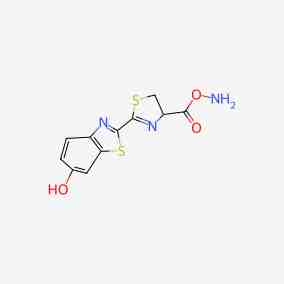 NOC(=O)C1CSC(c2nc3ccc(O)cc3s2)=N1